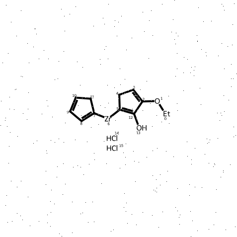 CCOC1=CC[C]([Zr][C]2=CC=CC2)=C1O.Cl.Cl